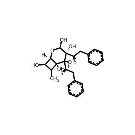 CC1C(O)[C@H]2O[C@@H](O)[C@@](O)(C(=S)Cc3ccccc3)[C@](O)(C(=S)Cc3ccccc3)[C@@]12O